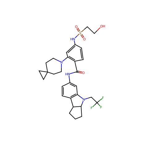 O=C(Nc1ccc2c(c1)N(CC(F)(F)F)C1CCCC21)c1ccc(NS(=O)(=O)CCO)cc1N1CCC2(CC1)CC2